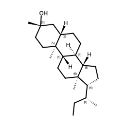 CC[C@@H](C)[C@H]1CC[C@H]2[C@@H]3CC[C@H]4C[C@@](C)(O)CC[C@]4(C)[C@H]3CC[C@]12C